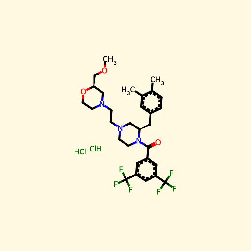 COC[C@H]1CN(CCN2CCN(C(=O)c3cc(C(F)(F)F)cc(C(F)(F)F)c3)[C@H](Cc3ccc(C)c(C)c3)C2)CCO1.Cl.Cl